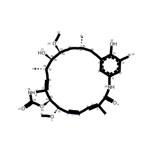 CO[C@H]1/C=C\C=C(/C)C(=O)Nc2cc(F)c(O)c(c2)C[C@@H](C)C[C@H](OC)[C@H](O)[C@@H](C)/C=C(\C)[C@@H]1OC(N)=O